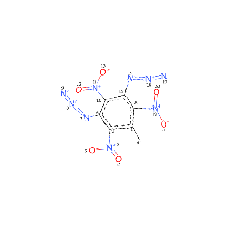 Cc1c([N+](=O)[O-])c(N=[N+]=[N-])c([N+](=O)[O-])c(N=[N+]=[N-])c1[N+](=O)[O-]